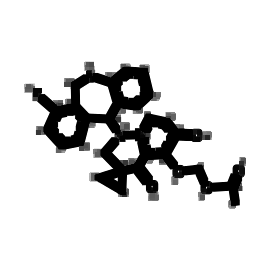 CC(=O)OCOc1c2n(ccc1=O)N(C1c3ccccc3SCc3c(F)cccc31)CC1(CC1)C2=O